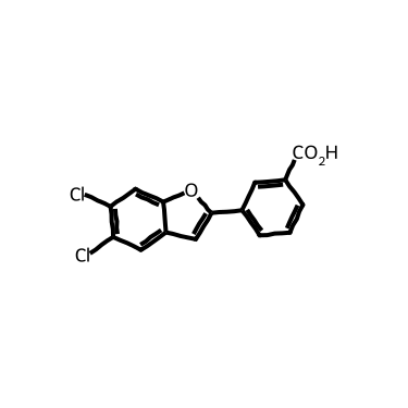 O=C(O)c1cccc(-c2cc3cc(Cl)c(Cl)cc3o2)c1